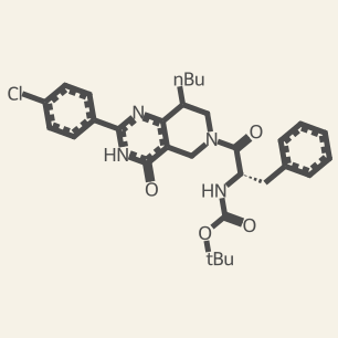 CCCCC1CN(C(=O)[C@H](Cc2ccccc2)NC(=O)OC(C)(C)C)Cc2c1nc(-c1ccc(Cl)cc1)[nH]c2=O